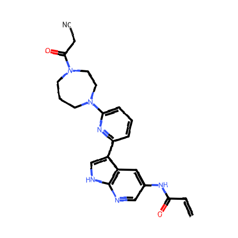 C=CC(=O)Nc1cnc2[nH]cc(-c3cccc(N4CCCN(C(=O)CC#N)CC4)n3)c2c1